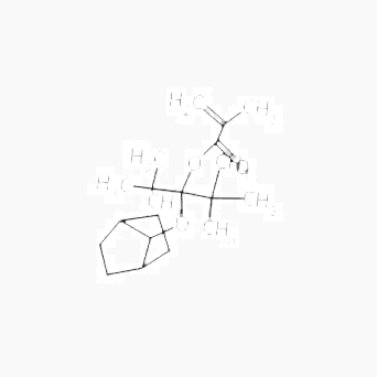 C=C(C)C(=O)OC(OC1C2CCC1CC2)(C(C)(C)C)C(C)(C)C